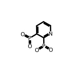 O=P(=O)c1cccnc1P(=O)=O